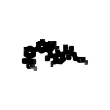 CCCS(=O)(=O)Nc1ccc(F)c(C(=O)c2c[nH]c3ncc(-c4cncc(S(C)(=O)=O)c4)cc23)c1F